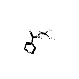 CC[C@H](C)C(C)=NNC(=O)c1ccncc1